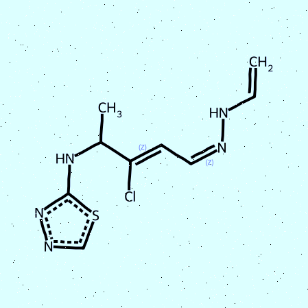 C=CN/N=C\C=C(/Cl)C(C)Nc1nncs1